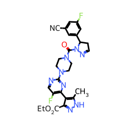 CCOC(=O)c1n[nH]c(C)c1-c1nc(N2CCN(C(=O)N3N=CCC3c3cc(F)cc(C#N)c3)CC2)ncc1F